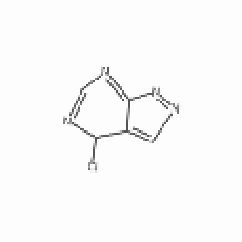 ClC1N=CN=C2N=NC=C21